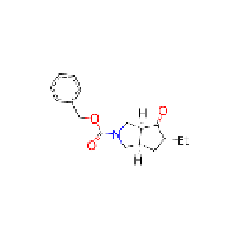 CCC1C[C@H]2CN(C(=O)OCc3ccccc3)C[C@H]2C1=O